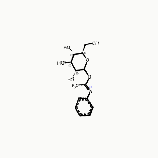 OC[C@H]1OC(O/C(=N/c2ccccc2)C(F)(F)F)[C@H](O)[C@@H](O)[C@@H]1O